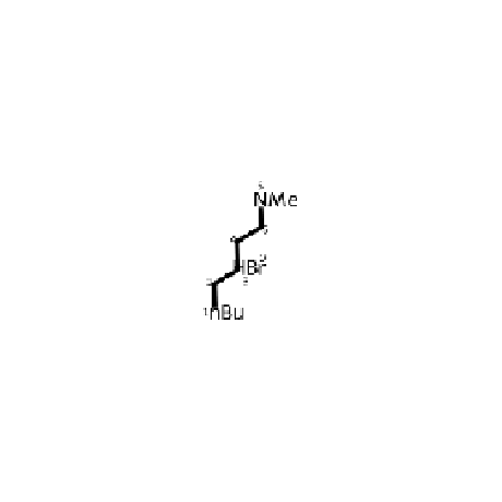 Br.CCCCCCCCNC